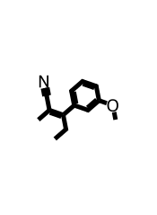 CC/C(=C(\C)C#N)c1cccc(OC)c1